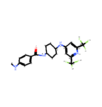 CNc1ccc(C(=O)NC2CCC(Nc3cc(C(F)(F)F)nc(C(F)(F)F)c3)CC2)cc1